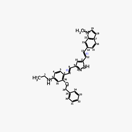 CCNc1ccc(/C=C/c2cc(/C=C/c3ccc4ccn(C)c4c3)[nH]n2)c(OCc2ccccc2)c1